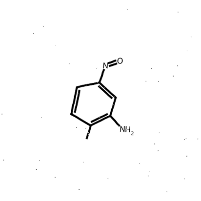 Cc1ccc(N=O)cc1N